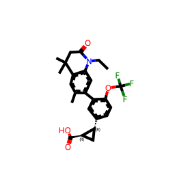 CCN1C(=O)CC(C)(C)c2cc(C)c(-c3cc([C@@H]4C[C@H]4C(=O)O)ccc3OC(F)(F)F)cc21